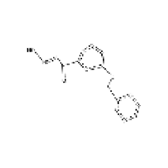 O=C(C=NO)c1cccc(OCc2ccccc2)c1